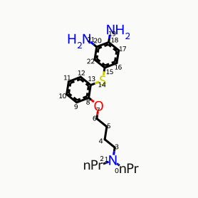 CCCN(CCC)CCCCOc1ccccc1Sc1ccc(N)c(N)c1